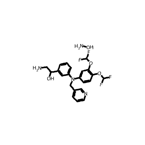 NCC(O)c1cccc(N(Cc2cccnc2)c2ccc(OC(F)F)c(OC(F)F)c2)c1.NO